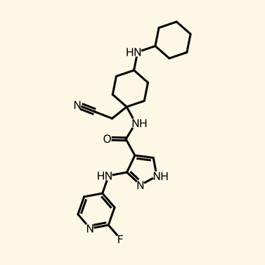 N#CCC1(NC(=O)c2c[nH]nc2Nc2ccnc(F)c2)CCC(NC2CCCCC2)CC1